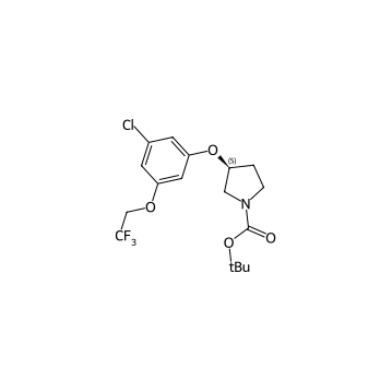 CC(C)(C)OC(=O)N1CC[C@H](Oc2cc(Cl)cc(OCC(F)(F)F)c2)C1